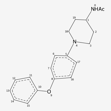 CC(=O)NC1CCN(c2ccc(Oc3ccccc3)cc2)CC1